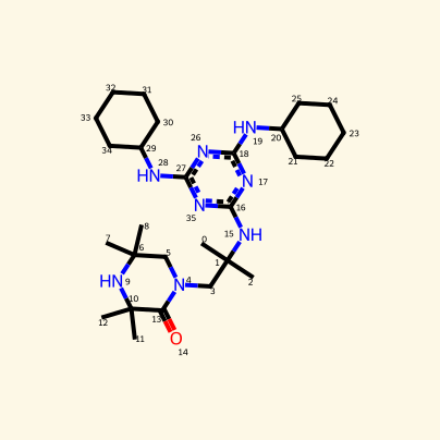 CC(C)(CN1CC(C)(C)NC(C)(C)C1=O)Nc1nc(NC2CCCCC2)nc(NC2CCCCC2)n1